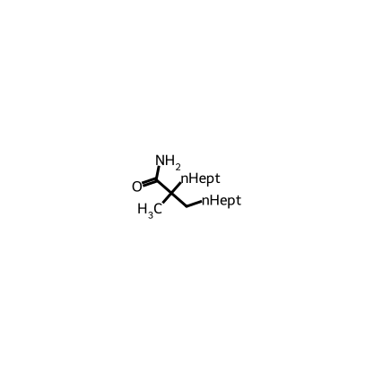 CCCCCCCCC(C)(CCCCCCC)C(N)=O